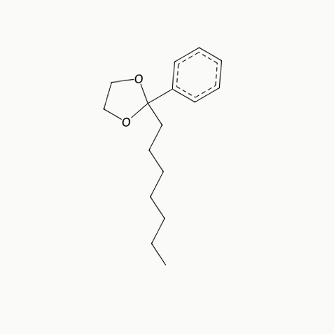 CCCCCCCC1(c2ccccc2)OCCO1